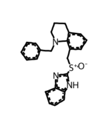 [O-][S+](Cc1cccc2c1N(Cc1ccccc1)CCC2)c1nc2ccccc2[nH]1